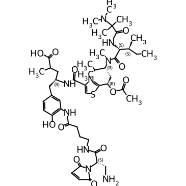 CC[C@H](C)[C@H](NC(=O)C(C)(C)N(C)C)C(=O)N(C)[C@H](C[C@@H](OC(C)=O)c1nc(C(=O)N[C@@H](Cc2ccc(O)c(NC(=O)CCCNC(=O)[C@H](CN)N3C(=O)C=CC3=O)c2)CC(C)C(=O)O)cs1)C(C)C